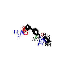 N#C[C@H](Cc1ccc(-c2cccc(S(N)(=O)=O)c2)cc1F)NC(=O)[C@H]1N[C@H]2C[C@@H]1[C@@H]1C[C@@H]12